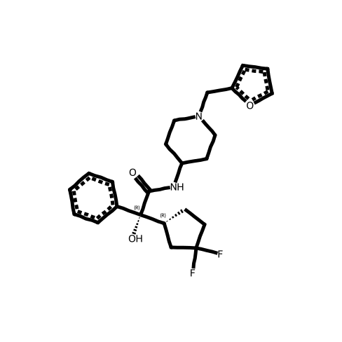 O=C(NC1CCN(Cc2ccco2)CC1)[C@](O)(c1ccccc1)[C@@H]1CCC(F)(F)C1